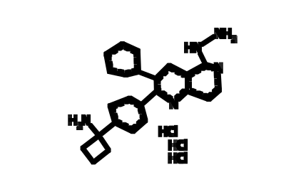 Cl.Cl.Cl.NNc1nccc2nc(-c3ccc(C4(N)CCC4)cc3)c(-c3ccccc3)cc12